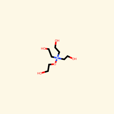 OCCO[N+](CCO)(CCO)CCO